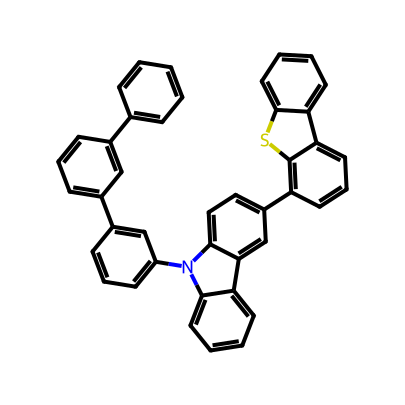 c1ccc(-c2cccc(-c3cccc(-n4c5ccccc5c5cc(-c6cccc7c6sc6ccccc67)ccc54)c3)c2)cc1